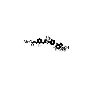 COC(=O)CCc1cccc(Cc2c[nH]c(-c3cc(Oc4c(F)cc5c(ccn5P(=O)(O)O)c4F)ccc3F)n2)c1F